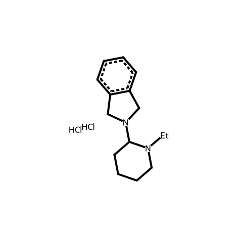 CCN1CCCCC1N1Cc2ccccc2C1.Cl.Cl